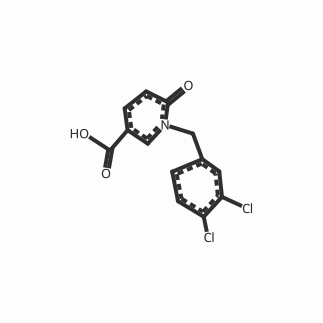 O=C(O)c1ccc(=O)n(Cc2ccc(Cl)c(Cl)c2)c1